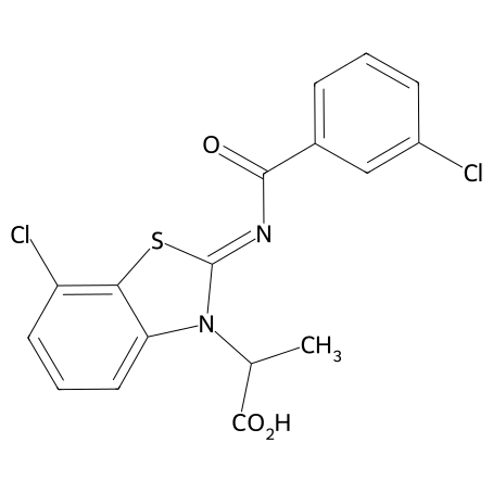 CC(C(=O)O)n1c(=NC(=O)c2cccc(Cl)c2)sc2c(Cl)cccc21